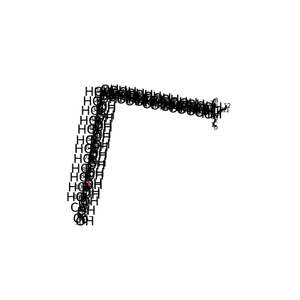 CCCC[NH+](CCCC)CCCC.OB(O)O.OB(O)O.OB(O)O.OB(O)O.OB(O)O.OB(O)O.OB(O)O.OB(O)O.OB(O)O.OB(O)O.OB(O)O.OB(O)O.OB(O)O.OB(O)O.OB(O)O.OB(O)O.OB(O)O.OB(O)O.OB(O)O.OB(O)O.OB(O)O.OB(O)O.OB(O)O.OB(O)O.[O]=[Co-][OH].[O]=[Co-][OH]